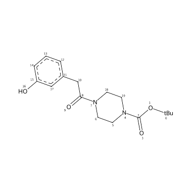 CC(C)(C)OC(=O)N1CCN(C(=O)Cc2cccc(O)c2)CC1